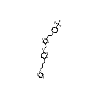 FC(F)(F)c1ccc(/C=C/c2nc(COc3ccc(CCCCn4cncn4)nn3)co2)cc1